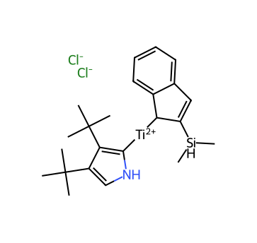 C[SiH](C)C1=Cc2ccccc2[CH]1[Ti+2][c]1[nH]cc(C(C)(C)C)c1C(C)(C)C.[Cl-].[Cl-]